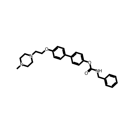 CN1CCN(CCOc2ccc(-c3ccc(OC(=O)NCc4ccccc4)cc3)cc2)CC1